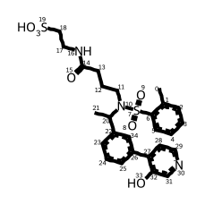 Cc1ccccc1S(=O)(=O)N(CCCC(=O)NCCS(=O)(=O)O)C(C)c1cccc(-c2ccncc2O)c1